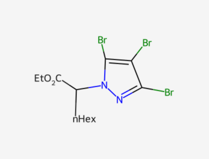 CCCCCCC(C(=O)OCC)n1nc(Br)c(Br)c1Br